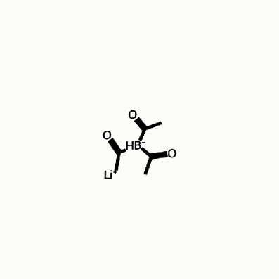 CC(=O)[BH-](C(C)=O)C(C)=O.[Li+]